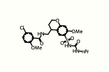 CCCNC(=O)NS(=O)(=O)c1cc2c(cc1OC)OCCC2CNC(=O)c1cc(Cl)ccc1OC